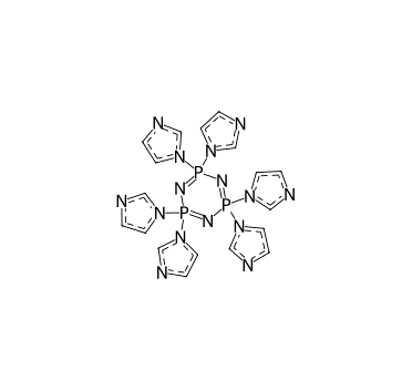 c1cn(P2(n3ccnc3)=NP(n3ccnc3)(n3ccnc3)=NP(n3ccnc3)(n3ccnc3)=N2)cn1